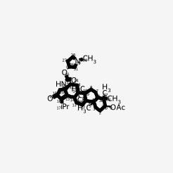 CC(=O)O[C@H]1CC[C@@]2(C)C(CC[C@]3(C)C2CCC2C4=C(C(C)C)C(=O)C[C@]4(NC(=O)O[C@@H]4CCN(C)C4)CC[C@]23C)C1(C)C